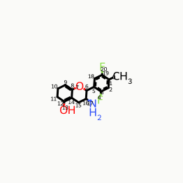 Cc1cc(F)c(C2OC3=CCCC(O)=C3CC2N)cc1F